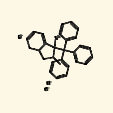 CC1CC2CC=CC=C2[C]1([Ti+3])C(c1ccccc1)(c1ccccc1)c1ccccc1.[Cl-].[Cl-].[Cl-]